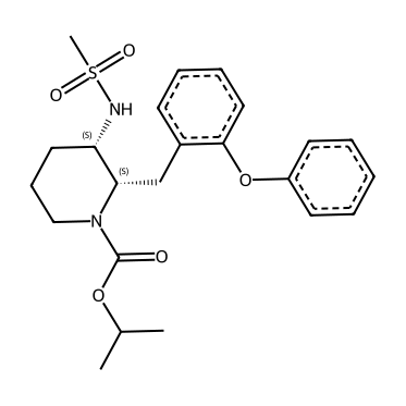 CC(C)OC(=O)N1CCC[C@H](NS(C)(=O)=O)[C@@H]1Cc1ccccc1Oc1ccccc1